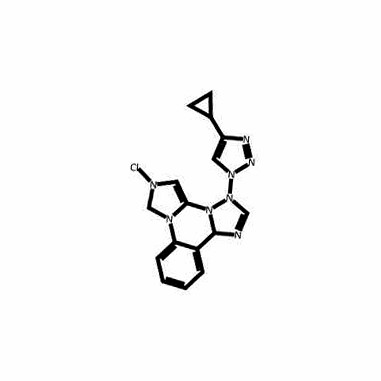 ClN1C=C2N(C1)c1ccccc1C1N=CN(n3cc(C4CC4)nn3)N21